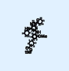 COc1cc(C2CCN(C(=O)OC(C)(C)C)CC2)ccc1Nc1nc(NC2CCCCC2)c2ncn(C3CCCCO3)c2n1